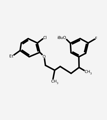 CCc1ccc(Cl)c(OCC(C)CCC(C)c2cc(F)cc(OCC(C)C)c2)c1